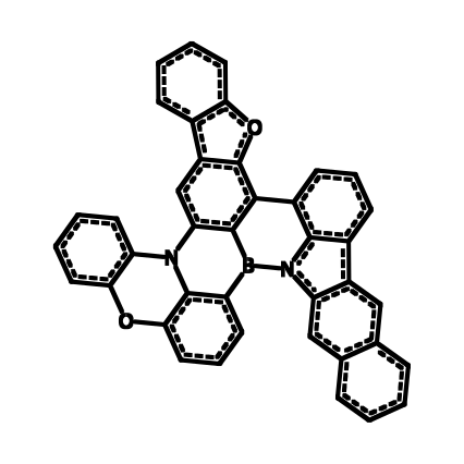 c1ccc2c(c1)Oc1cccc3c1N2c1cc2c(oc4ccccc42)c2c1B3n1c3cc4ccccc4cc3c3cccc-2c31